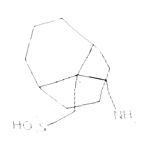 NCC1(CS(=O)(=O)O)C2CCCC1CCC2